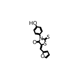 O=C1/C(=C/c2ccco2)SC(=S)N1c1ccc(O)cc1